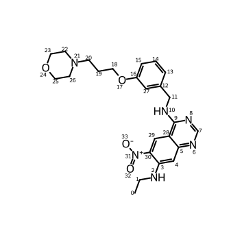 CCNc1cc2ncnc(NCc3cccc(OCCCN4CCOCC4)c3)c2cc1[N+](=O)[O-]